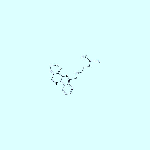 CN(C)CCCNCc1nc2c3ccccc3cnc2c2ccccc12